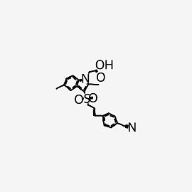 Cc1ccc2c(c1)c(S(=O)(=O)CC=Cc1ccc(C#N)cc1)c(C)n2CC(=O)O